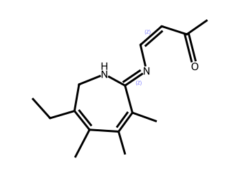 CCC1=C(C)C(C)=C(C)/C(=N/C=C\C(C)=O)NC1